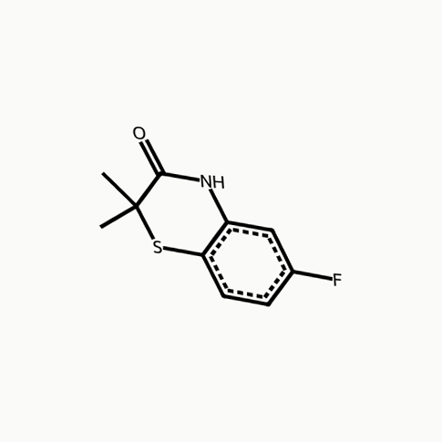 CC1(C)Sc2ccc(F)cc2NC1=O